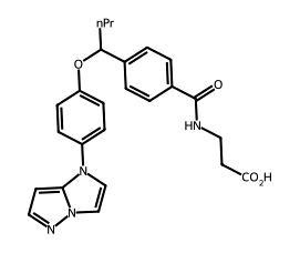 CCCC(Oc1ccc(-n2ccn3nccc23)cc1)c1ccc(C(=O)NCCC(=O)O)cc1